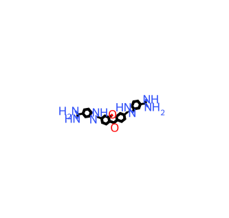 N=C(N)c1ccc2[nH]c(-c3ccc4c(=O)c5ccc(-c6nc7cc(C(=N)N)ccc7[nH]6)cc5oc4c3)nc2c1